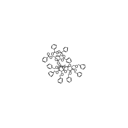 CS[C@H]1OC(COCc2ccccc2)[C@@H](OCc2ccccc2)[C@H](OCc2ccccc2)C1O[C@H]1OC(CO[C@@H]2OC(COC(=O)c3ccccc3)[C@H](OC(=O)c3ccccc3)[C@H](OC(=O)c3ccccc3)C2OC(=O)c2ccccc2)[C@@H](OCc2ccccc2)[C@H](OCc2ccccc2)C1OCc1ccccc1